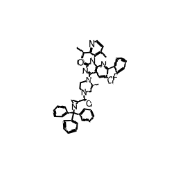 Cc1ccnc(C(C)C)c1-n1c(=O)nc(N2CCN(C(=O)C3CN3C(c3ccccc3)(c3ccccc3)c3ccccc3)C[C@@H]2C)c2cc(Cl)c(-c3ccccc3F)nc21